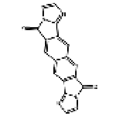 O=c1c2cc3cc4c(cc3cc2c2nccn12)c(=O)n1ccnc41